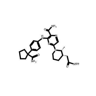 CNC(=O)C[C@@H]1CCCN(c2cnc(C(N)=O)c(Nc3ccc(C4(C(N)=O)CCCC4)cc3)n2)[C@@H]1C